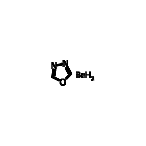 [BeH2].c1nnco1